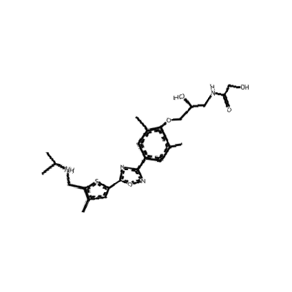 Cc1cc(-c2nc(-c3cc(C)c(OCC(O)CNC(=O)CO)c(C)c3)no2)sc1CNC(C)C